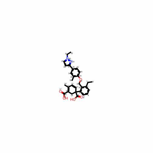 CCc1cccc(C2(C(=O)O)C=CC(C)=C(C(=O)O)C2)c1COc1ccc(-c2ccn(CC)n2)cc1C